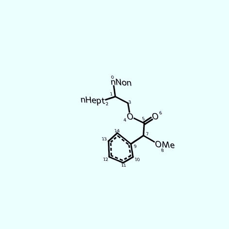 CCCCCCCCCC(CCCCCCC)COC(=O)C(OC)c1ccccc1